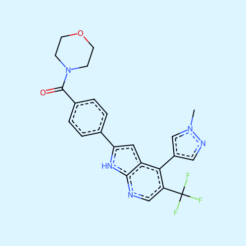 Cn1cc(-c2c(C(F)(F)F)cnc3[nH]c(-c4ccc(C(=O)N5CCOCC5)cc4)cc23)cn1